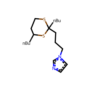 CCCCC1CCSC(CCCC)(CCCn2ccnc2)S1